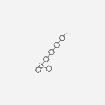 Nc1ccc(C2=CC=C(c3ccc(-c4ccc(-c5nc6ccccc6n5C5=CC=CCC5)cc4)cc3)CC2)cc1